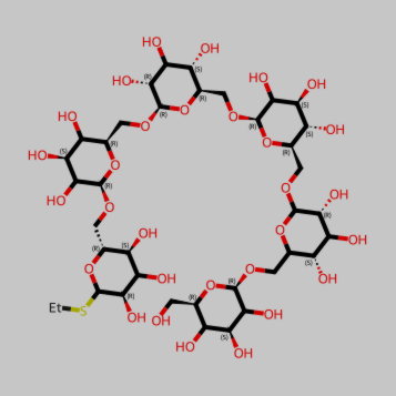 CCSC1O[C@H](CO[C@@H]2O[C@H](CO[C@@H]3O[C@H](CO[C@@H]4O[C@H](COC5OC(CO[C@@H]6O[C@H](CO)C(O)[C@H](O)C6O)[C@@H](O)C(O)[C@H]5O)[C@@H](O)[C@H](O)C4O)[C@@H](O)C(O)[C@H]3O)C(O)[C@H](O)C2O)[C@@H](O)C(O)[C@H]1O